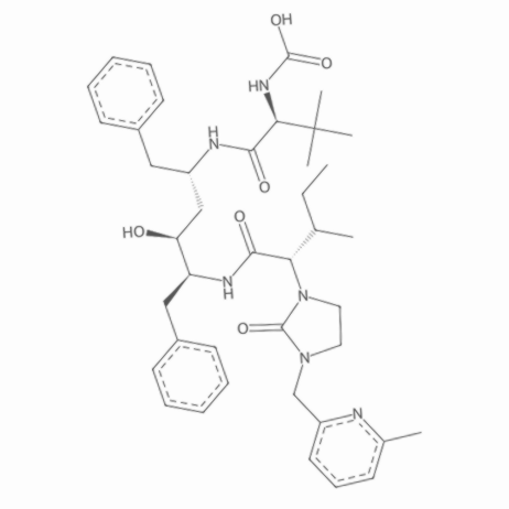 CCC(C)[C@@H](C(=O)N[C@@H](Cc1ccccc1)[C@@H](O)C[C@H](Cc1ccccc1)NC(=O)[C@@H](NC(=O)O)C(C)(C)C)N1CCN(Cc2cccc(C)n2)C1=O